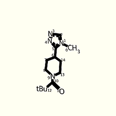 Cn1cnnc1C1CCN(C(=O)C(C)(C)C)CC1